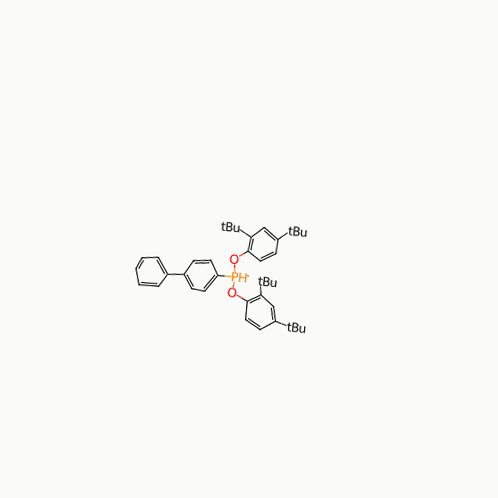 CC(C)(C)c1ccc(O[PH](C)(Oc2ccc(C(C)(C)C)cc2C(C)(C)C)c2ccc(-c3ccccc3)cc2)c(C(C)(C)C)c1